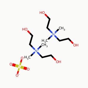 C[N+](C)(CCO)CCO.C[N+](C)(CCO)CCO.O=S(=O)([O-])[O-]